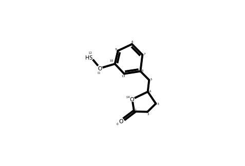 O=C1CCC(Cc2cccc(OS)c2)O1